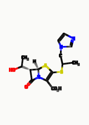 CC(Cn1ccnc1)SC1=C(C(=O)O)N2C(=O)[C@H](C(C)O)[C@H]2S1